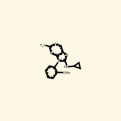 COc1ccccc1-n1c(NC2CC2)nc2cnc(C(F)(F)F)nc21